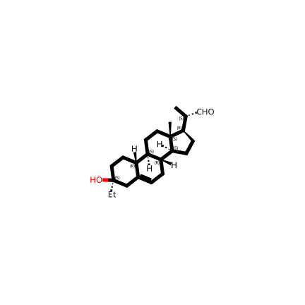 CC[C@]1(O)CC[C@H]2C(=CC[C@@H]3[C@@H]2CC[C@]2(C)[C@@H]([C@H](C)C=O)CC[C@@H]32)C1